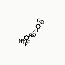 C[C@H]1O[C@H](COc2ccc([N+](=O)[O-])cc2)CN1c1ccc(C#N)c(C(F)(F)F)c1